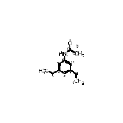 CCc1cc(CC)cc(NC(C)C)c1